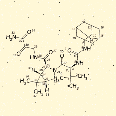 CC(C)(C)[C@H](NC(=O)NC12CC3CC(CC(C3)C1)C2)C(=O)N1C[C@H]2[C@@H]([C@H]1C(=O)NCC(=O)C(N)=O)C2(C)C